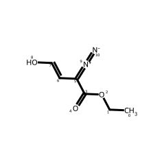 CCOC(=O)C(C=CO)=[N+]=[N-]